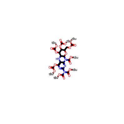 CC(C)(C)OC(=O)OCC1OC2C(Nc3c(OC(=O)OC(C)(C)C)nc(N(C(=O)OC(C)(C)C)C(=O)OC(C)(C)C)nc3N2C(=O)OC(C)(C)C)C(OC(=O)OC(C)(C)C)C1OC(=O)OC(C)(C)C